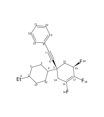 CCC1CCC([C@@]2(C#Cc3ccccc3)CC(F)=C(F)[C@H](F)C2)CC1